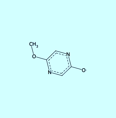 COc1cnc([O])cn1